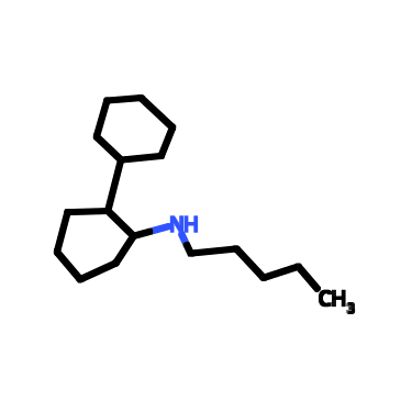 CCCCCNC1CCCCC1C1CCCCC1